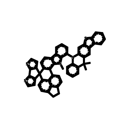 Cn1c2c(N3c4ccccc4C(C)(C)c4cc5c(cc43)sc3ccccc35)cccc2c2ccc3c(c21)-c1ccc2c4c(ccc(c14)C31c3ccsc3-c3sccc31)CC2